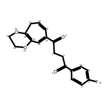 O=C(CCC(=O)c1ccc(F)cc1)C1=CC2=C(CC=C1)OCCO2